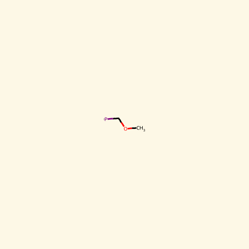 COC[P]